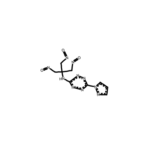 O=NCC(CN=O)(CN=O)Nc1nnc(-n2cccn2)nn1